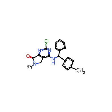 Cc1ccc(C(Nc2nc(Cl)nc3c2CN(C(C)C)C3=O)c2ccccc2)cc1